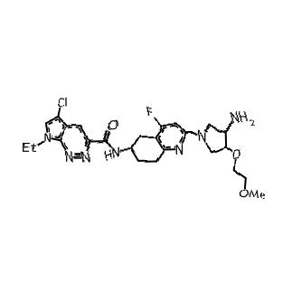 CCn1cc(Cl)c2cc(C(=O)NC3CCc4nc(N5CC(N)C(OCCOC)C5)cc(F)c4C3)nnc21